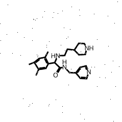 Cc1cc(C)c(C(NCCC2CCNCC2)C(=O)NCc2ccncc2)cc1C